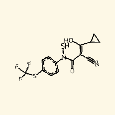 N#CC(C(=O)N(S)c1ccc(SC(F)(F)F)cc1)=C(O)C1CC1